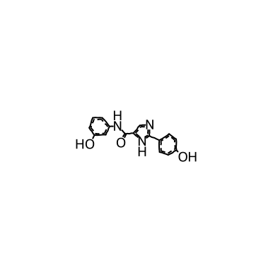 O=C(Nc1cccc(O)c1)c1cnc(-c2ccc(O)cc2)[nH]1